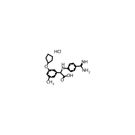 Cc1cc(OC2CCCC2)cc(C(Nc2ccc(C(=N)N)cc2)C(=O)O)c1.Cl